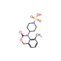 Cc1cccc2c1N(C1CCN(S(=O)(=O)O)CC1)C(=O)OC2